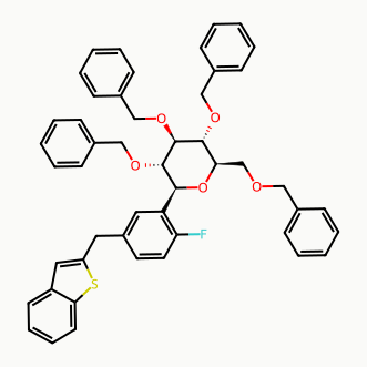 Fc1ccc(Cc2cc3ccccc3s2)cc1[C@@H]1O[C@H](COCc2ccccc2)[C@@H](OCc2ccccc2)[C@H](OCc2ccccc2)[C@H]1OCc1ccccc1